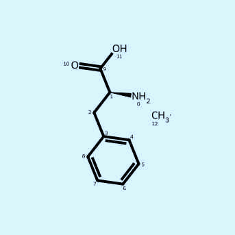 N[C@@H](Cc1ccccc1)C(=O)O.[CH3]